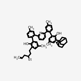 C=CCC(CC)CCc1cc(C)cc(-c2ccc(C)cc2-c2cccc(-c3cc(C)ccc3-c3cc(C)cc(C45CC6CC(CC(C6)C4)C5)c3O)n2)c1O